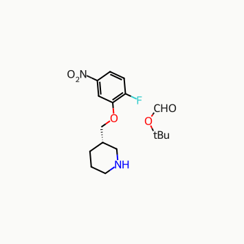 CC(C)(C)OC=O.O=[N+]([O-])c1ccc(F)c(OC[C@H]2CCCNC2)c1